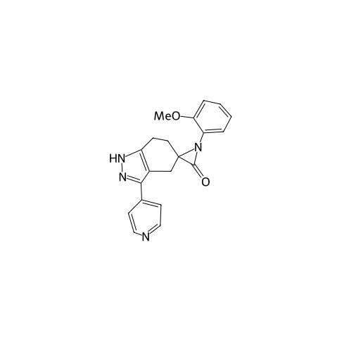 COc1ccccc1N1C(=O)C12CCc1[nH]nc(-c3ccncc3)c1C2